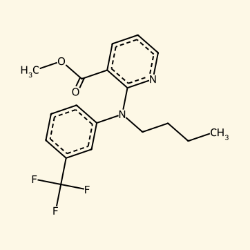 CCCCN(c1cccc(C(F)(F)F)c1)c1ncccc1C(=O)OC